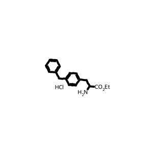 CCOC(=O)C(N)Cc1ccc(Cc2ccccc2)cc1.Cl